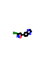 BrC1=NO[C@H](c2ccc3nccnc3c2)C1